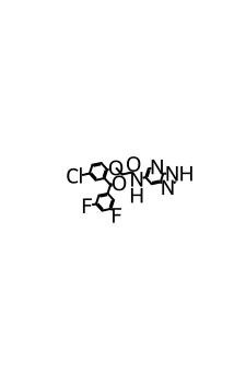 O=C(COc1ccc(Cl)cc1C(=O)c1cc(F)cc(F)c1)Nc1cnc2[nH]cnc2c1